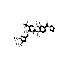 COc1cc(C(=O)N2CCCC2)ccc1Nc1ncc(C(F)(F)F)c(NCc2cc(C)n(C)n2)n1